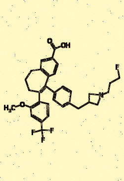 COc1cc(C(F)(F)F)ccc1C1=C(c2ccc(CC3CN(CCCF)C3)cc2)c2ccc(C(=O)O)cc2CCC1